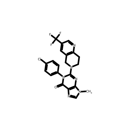 Cn1cnc2c(=O)n(-c3ccc(Cl)cc3)c(N3CCc4ncc(C(F)(F)F)cc4C3)nc21